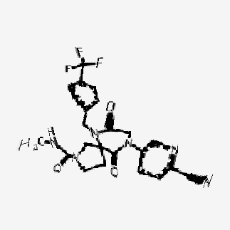 CNC(=O)N1CCC2(C1)C(=O)N(c1ccc(C#N)nc1)CC(=O)N2Cc1ccc(C(F)(F)F)cc1